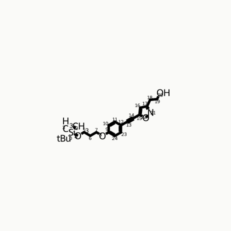 CC(C)(C)[Si](C)(C)OCCCOc1ccc(C#Cc2cc(CCO)no2)cc1